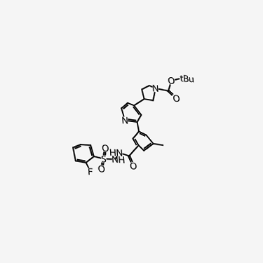 Cc1cc(C(=O)NNS(=O)(=O)c2ccccc2F)cc(-c2cc(C3CCN(C(=O)OC(C)(C)C)C3)ccn2)c1